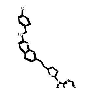 Clc1ccc(CNc2ccc3ccc(CCC4CCC(n5ccc6cncnc65)O4)cc3n2)cc1